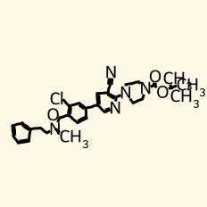 CN(CCc1ccccc1)C(=O)c1ccc(-c2cnc(N3CCN(C(=O)OC(C)(C)C)CC3)c(C#N)c2)cc1Cl